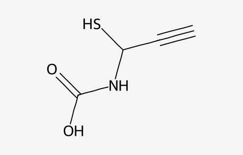 C#CC(S)NC(=O)O